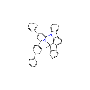 CC1(C)c2ccccc2-c2ccc3c4ccccc4n(-c4cc(-c5ccccc5)cc(-c5ccc(-c6ccccc6)cc5)n4)c3c21